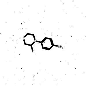 Nc1ccc(N2CCSCC2F)cc1